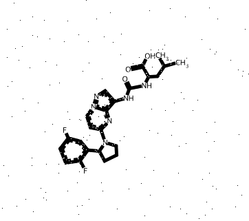 CC(C)CC(NC(=O)Nc1cnn2ccc(N3CCCC3c3cc(F)ccc3F)nc12)C(=O)O